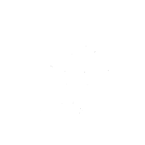 N#C/C(=C1\c2ccccc2-c2ncccc21)c1cc(F)cc(F)c1